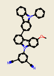 COc1ccc2c(c1)c1c(-c3ccc4c(c3)c3ccccc3n4-c3ccccc3)cccc1n2-c1cc(C#N)cc(C#N)c1